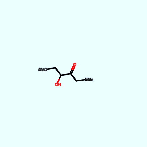 CNCC(=O)C(O)COC